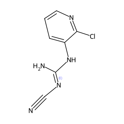 N#C/N=C(\N)Nc1cccnc1Cl